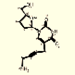 NCC#CCc1cn([C@H]2CC[C@@H](CO)O2)c(=O)[nH]c1=O